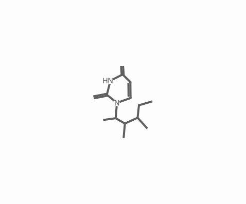 C=C1C=CN(C(C)C(C)C(C)CC)C(=C)N1